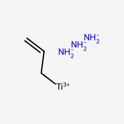 C=C[CH2][Ti+3].[NH2-].[NH2-].[NH2-]